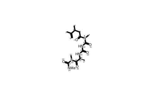 C=C(C)C(C)CC(=O)N(C)C(=O)NC(=O)N[C@@H](C)C(=O)N(C)C(=O)NC